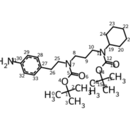 CC(C)(C)OC(=O)N(CCCN(C(=O)OC(C)(C)C)C1CCCCC1)CCc1ccc(N)cc1